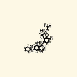 Cc1cc(N=S2(=O)CCCC2)cc2ncnc(Nc3ccc(F)cc3O[C@H](C)C(=O)NCC(F)F)c12